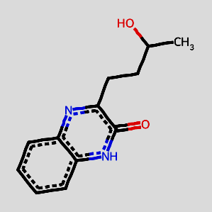 CC(O)CCc1nc2ccccc2[nH]c1=O